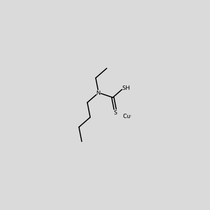 CCCCN(CC)C(=S)S.[Cu]